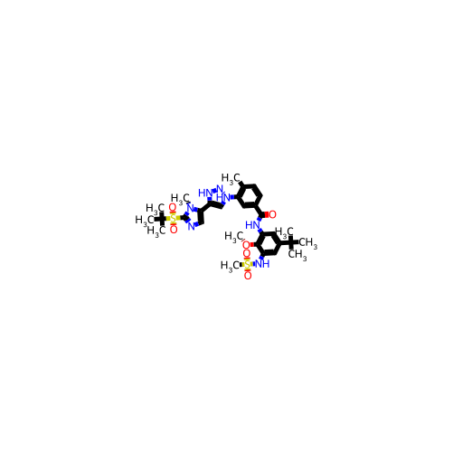 COc1c(NC(=O)c2ccc(C)c(N3C=C(c4cnc(S(=O)(=O)C(C)(C)C)n4C)NN3)c2)cc(C(C)(C)C)cc1NS(C)(=O)=O